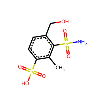 Cc1c(S(=O)(=O)O)ccc(CO)c1S(N)(=O)=O